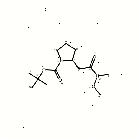 CON(C)C(=O)C[C@@H]1CCCN1C(=O)OC(C)(C)C